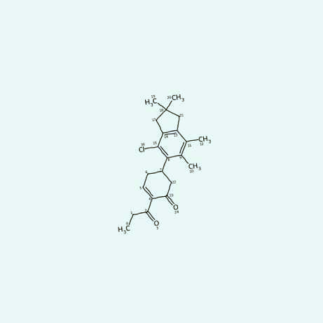 CCC(=O)C1=CCC(c2c(C)c(C)c3c(c2Cl)CC(C)(C)C3)CC1=O